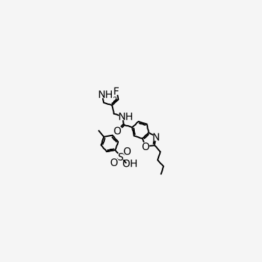 CCCCc1nc2ccc(C(=O)NCC(=CF)CN)cc2o1.Cc1ccc(S(=O)(=O)O)cc1